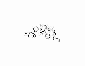 CC(=O)c1cccc(NC(=O)N(C(C)=O)c2cccc(C(C)=O)c2)c1